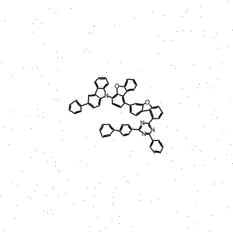 c1ccc(-c2ccc(-c3nc(-c4ccccc4)nc(-c4cccc5oc6cc(-c7ccc(-n8c9ccccc9c9cc(-c%10ccccc%10)ccc98)c8oc9ccccc9c78)ccc6c45)n3)cc2)cc1